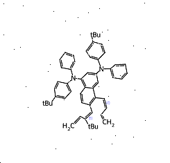 C=C/C=C\c1c(/C=C(\C=C)C(C)(C)C)ccc2c(N(c3ccccc3)c3ccc(C(C)(C)C)cc3)cc(N(c3ccccc3)c3ccc(C(C)(C)C)cc3)cc12